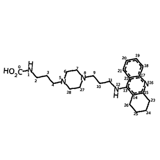 O=C(O)NCCCN1CCN(CCCNc2c3c(nc4ccccc24)CCCC3)CC1